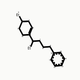 CCC1CC=C(C(CC)CCCc2ccccc2)CC1